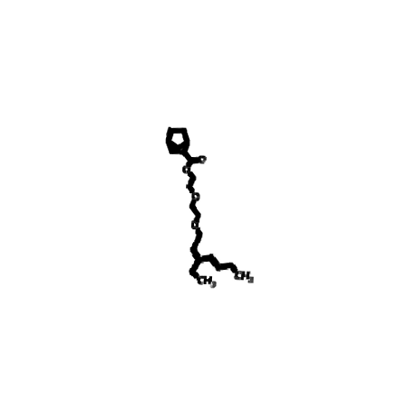 CCCCC(CC)CCOCCOCCOC(=O)C1CC2CCC1C2